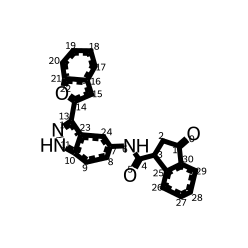 O=C1CC(C(=O)Nc2ccc3[nH]nc(-c4cc5ccccc5o4)c3c2)c2ccccc21